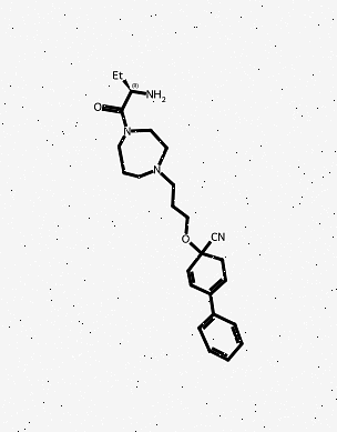 CC[C@@H](N)C(=O)N1CCCN(CCCOC2(C#N)C=CC(c3ccccc3)=CC2)CC1